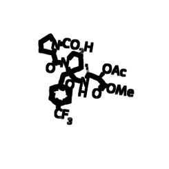 COC(=O)[C@H](OC(C)=O)[C@@H](C)NC(=O)C1(Cc2ccc(C(F)(F)F)cc2)CCCN1C(=O)C1CCCN1C(=O)O